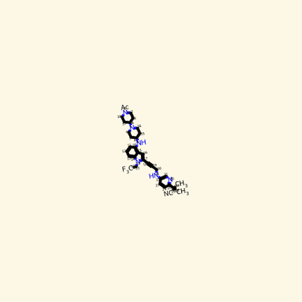 CC(=O)N1CCC(N2CCC(Nc3cccc4c3cc(C#CCNc3ccc(C(C)(C)C#N)nc3)n4CC(F)(F)F)CC2)CC1